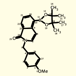 COc1ccc(Cn2ccc3c(B4OC(C)(C)C(C)(C)O4)cccc3c2=O)cc1